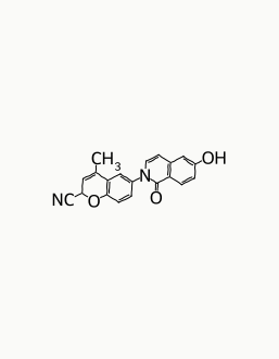 CC1=CC(C#N)Oc2ccc(-n3ccc4cc(O)ccc4c3=O)cc21